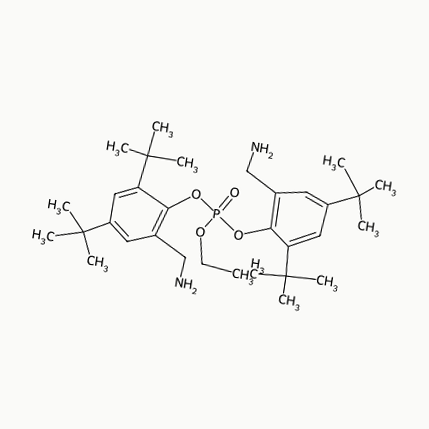 CCOP(=O)(Oc1c(CN)cc(C(C)(C)C)cc1C(C)(C)C)Oc1c(CN)cc(C(C)(C)C)cc1C(C)(C)C